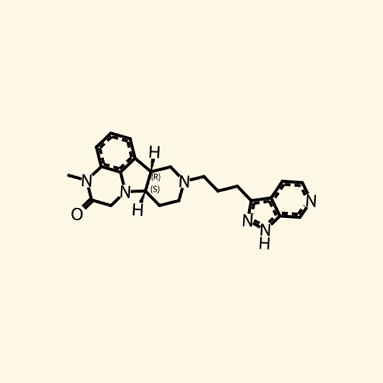 CN1C(=O)CN2c3c(cccc31)[C@@H]1CN(CCCc3n[nH]c4cnccc34)CC[C@@H]12